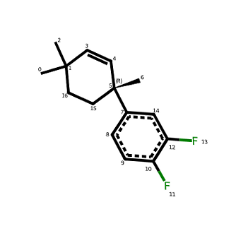 CC1(C)C=C[C@](C)(c2ccc(F)c(F)c2)CC1